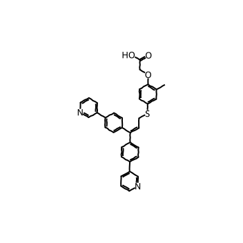 Cc1cc(SCC=C(c2ccc(-c3cccnc3)cc2)c2ccc(-c3cccnc3)cc2)ccc1OCC(=O)O